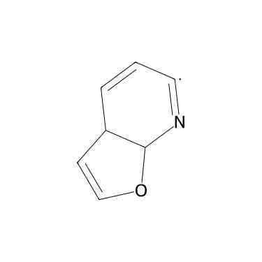 [C]1=NC2OC=CC2C=C1